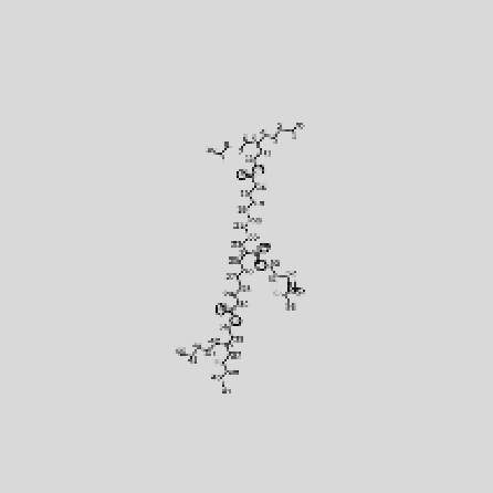 CCCCCC(CCCCC)CCOC(=O)CCCCCCCCC(CCCCCCC(=O)OCCC(CCCCC)CCCCC)C(=O)OCCCN(C)CC